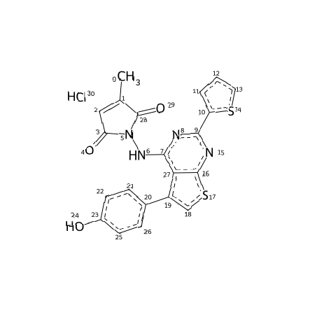 CC1=CC(=O)N(Nc2nc(-c3cccs3)nc3scc(-c4ccc(O)cc4)c23)C1=O.Cl